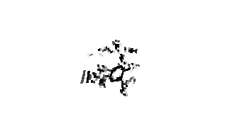 CCC[As](=O)(O)O.O=[N+]([O-])c1cc([As](=O)(O)O)ccc1O